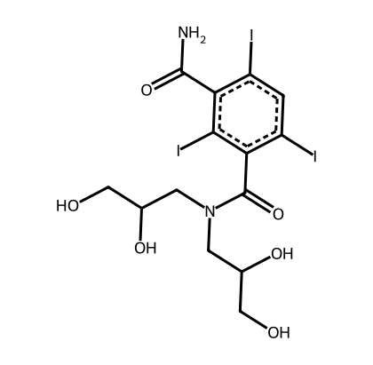 NC(=O)c1c(I)cc(I)c(C(=O)N(CC(O)CO)CC(O)CO)c1I